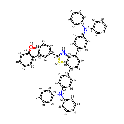 c1ccc(N(c2ccccc2)c2ccc(-c3ccc(-c4ccc(N(c5ccccc5)c5ccccc5)cc4)c4sc(-c5ccc6oc7ccccc7c6c5)nc34)cc2)cc1